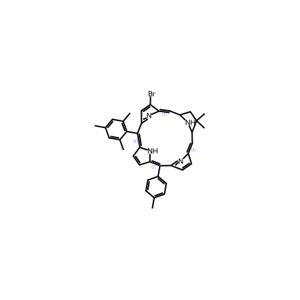 Cc1ccc(/C2=c3\cc/c([nH]3)=C(\c3c(C)cc(C)cc3C)C3=N/C(=C\C4CC(C)(C)C(/C=C5/C=CC2=N5)N4)C(Br)=C3)cc1